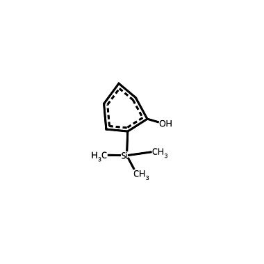 C[Si](C)(C)c1ccccc1O